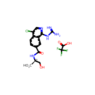 N=C(N)Nc1ncc(Cl)c2ccc(C(=O)N[C@@H](CO)C(=O)O)cc12.O=C(O)C(F)(F)F